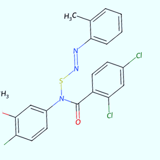 COc1cc(N(SN=Nc2ccccc2C)C(=O)c2ccc(Cl)cc2Cl)ccc1Cl